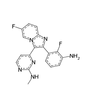 CNc1nccc(-c2c(-c3cccc(N)c3F)nc3ccc(F)cn23)n1